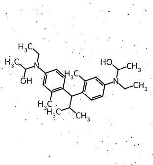 CCN(c1ccc(C(c2ccc(N(CC)C(C)O)cc2C)C(C)C)c(C)c1)C(C)O